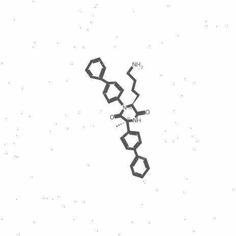 C[C@@]1(c2ccc(-c3ccccc3)cc2)NC(=O)[C@H](CCCCN)N(c2ccc(-c3ccccc3)cc2)C1=O